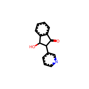 O=C1c2ccccc2C(O)C1c1cccnc1